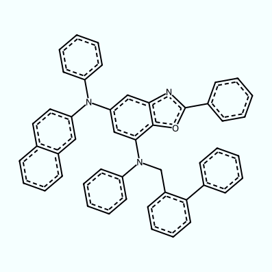 c1ccc(-c2nc3cc(N(c4ccccc4)c4ccc5ccccc5c4)cc(N(Cc4ccccc4-c4ccccc4)c4ccccc4)c3o2)cc1